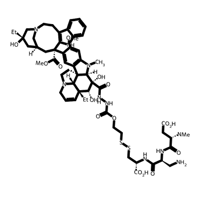 CC[C@]1(O)C[C@H]2CN(CCc3c([nH]c4ccccc34)[C@@](C(=O)OC)(c3cc4c(cc3OC)N(C)[C@H]3[C@@](O)(C(=O)NNC(=O)OCCSSC[C@H](NC(=O)[C@H](CN)NC(=O)[C@H](CC(=O)O)NC)C(=O)O)[C@H](O)[C@]5(CC)C=CCN6CC[C@]43[C@@H]65)C2)C1